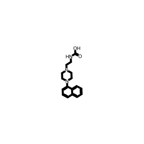 O=C(O)NCCN1CCN(c2cccc3ccccc23)CC1